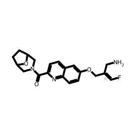 NC/C(=C\F)COc1ccc2nc(C(=O)N3CC4CCC(C3)O4)ccc2c1